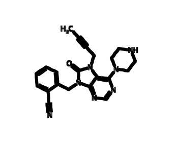 CC#CCn1c(=O)n(Cc2ccccc2C#N)c2ncnc(N3CCNCC3)c21